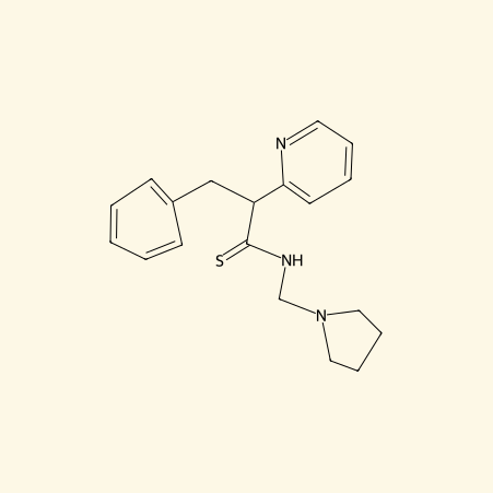 S=C(NCN1CCCC1)C(Cc1ccccc1)c1ccccn1